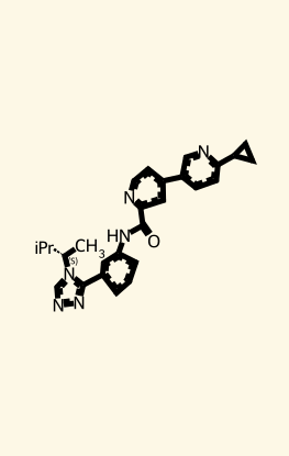 CC(C)[C@H](C)n1cnnc1-c1cccc(NC(=O)c2cc(-c3ccc(C4CC4)nc3)ccn2)c1